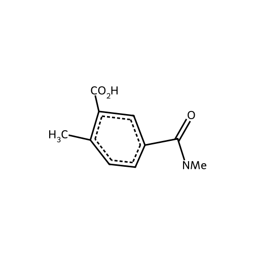 CNC(=O)c1ccc(C)c(C(=O)O)c1